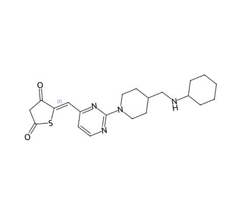 O=C1CC(=O)/C(=C/c2ccnc(N3CCC(CNC4CCCCC4)CC3)n2)S1